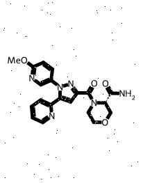 COc1ccc(-n2nc(C(=O)N3CCOC[C@H]3C(N)=O)cc2-c2ccccn2)cn1